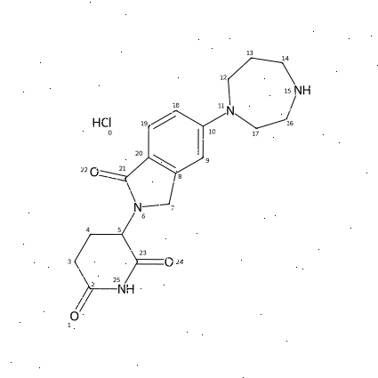 Cl.O=C1CCC(N2Cc3cc(N4CCCNCC4)ccc3C2=O)C(=O)N1